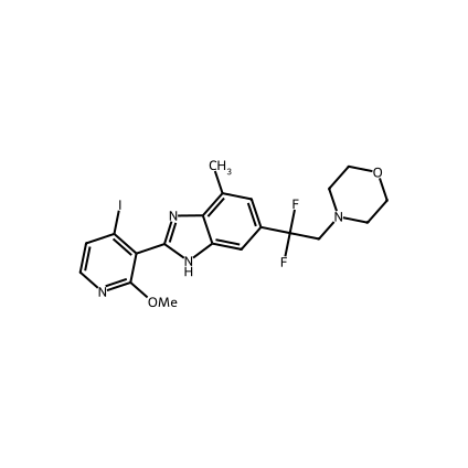 COc1nccc(I)c1-c1nc2c(C)cc(C(F)(F)CN3CCOCC3)cc2[nH]1